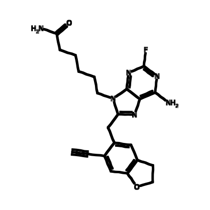 C#Cc1cc2c(cc1Cc1nc3c(N)nc(F)nc3n1CCCCCC(N)=O)CCO2